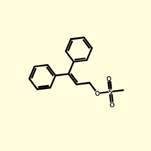 CS(=O)(=O)OCC=C(c1ccccc1)c1ccccc1